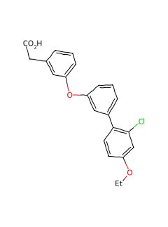 CCOc1ccc(-c2cccc(Oc3cccc(CC(=O)O)c3)c2)c(Cl)c1